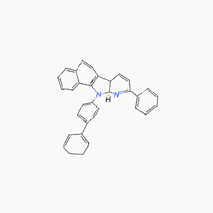 C1=CC(c2ccc(N3c4c(ccc5ccccc45)C4C=CC(c5ccccc5)=N[C@H]43)cc2)=CCC1